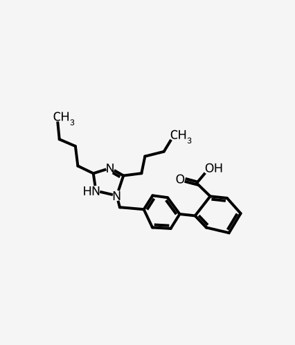 CCCCC1=NC(CCCC)NN1Cc1ccc(-c2ccccc2C(=O)O)cc1